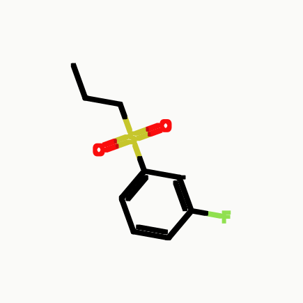 CCCS(=O)(=O)c1[c]c(F)ccc1